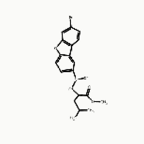 COC(=O)C(CC(C)C)N[S+]([O-])c1ccc2oc3cc(Br)ccc3c2c1